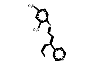 C\C=C/C(=C\C=N\c1ccc([N+](=O)[O-])cc1[N+](=O)[O-])c1ccncc1